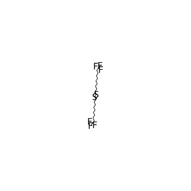 FC(F)(F)CCCCCCCCCSSCCCCCCCCCC(F)(F)F